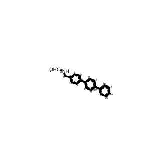 O=CNCc1ccc(-c2ccc(-c3ccccc3)cc2)cc1